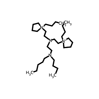 CCCCCN(CCCC)CCN(CC[N+]1(CCCC)CCCC1)CC[N+]1(CCCC)CCCC1